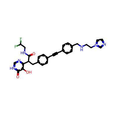 O=C(NCC(F)F)C(Cc1ccc(C#Cc2ccc(CNCCn3ccnc3)cc2)cc1)c1nc[nH]c(=O)c1O